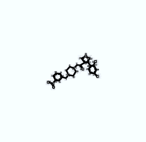 O=C(CN1CCN(Cc2cccc([N+](=O)[O-])c2)CC1)c1conc1-c1ccc(Cl)cc1Cl